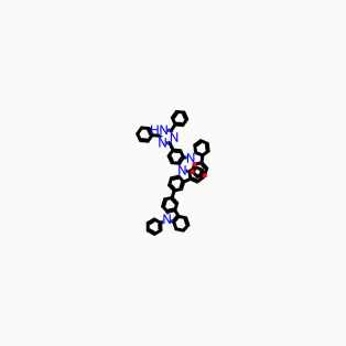 C1=CC2c3ccccc3N(c3cc(C4=NC(c5ccccc5)NC(C5=CCCC=C5)=N4)ccc3-n3c4ccccc4c4cc(-c5ccc6c(c5)c5c(n6-c6ccccc6)CCC=C5)ccc43)C2C=C1